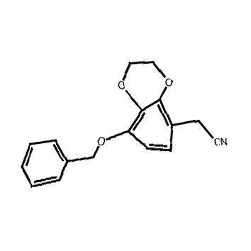 N#CCc1ccc(OCc2ccccc2)c2c1OCCO2